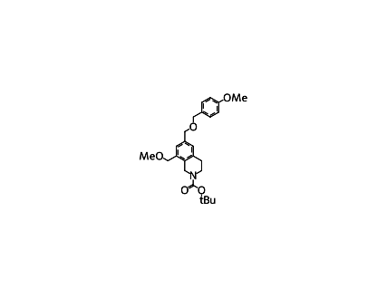 COCc1cc(COCc2ccc(OC)cc2)cc2c1CN(C(=O)OC(C)(C)C)CC2